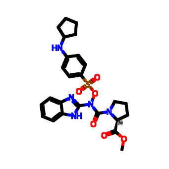 COC(=O)[C@@H]1CCCN1C(=O)N(OS(=O)(=O)c1ccc(NC2CCCC2)cc1)c1nc2ccccc2[nH]1